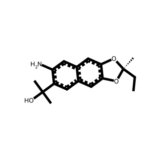 CC[C@]1(C)Oc2cc3cc(N)c(C(C)(C)O)cc3cc2O1